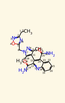 CCc1noc(Cn2nc(C)c(-c3c(C(N)=O)nc4ccccc4c3C(N)=O)c2C)n1